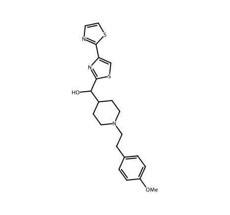 COc1ccc(CCN2CCC(C(O)c3nc(-c4nccs4)cs3)CC2)cc1